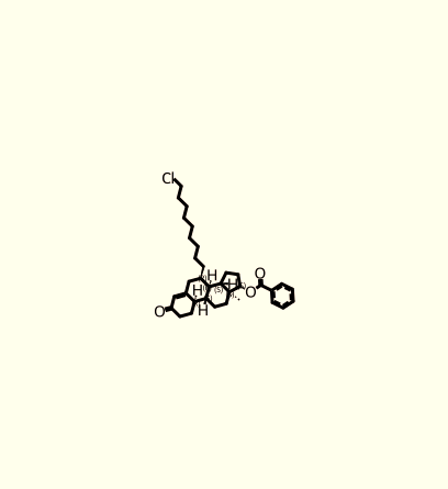 C[C@]12CC[C@H]3[C@@H]([C@H](CCCCCCCCCCl)CC4=CC(=O)CC[C@@H]43)[C@@H]1CC[C@@H]2OC(=O)c1ccccc1